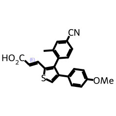 COc1ccc(-c2csc(/C=C/C(=O)O)c2-c2ccc(C#N)cc2C)cc1